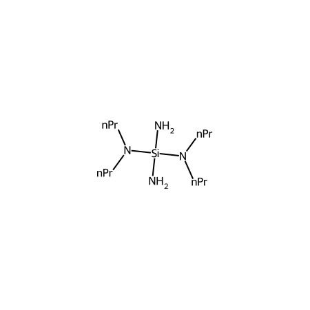 CCCN(CCC)[Si](N)(N)N(CCC)CCC